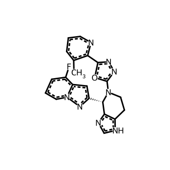 Cc1cccnc1-c1nnc(N2CCc3[nH]cnc3[C@@H]2c2cc3c(F)cccn3n2)o1